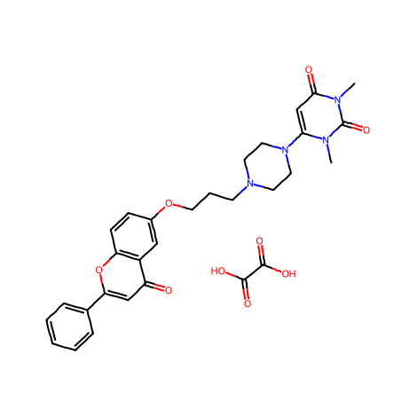 Cn1c(N2CCN(CCCOc3ccc4oc(-c5ccccc5)cc(=O)c4c3)CC2)cc(=O)n(C)c1=O.O=C(O)C(=O)O